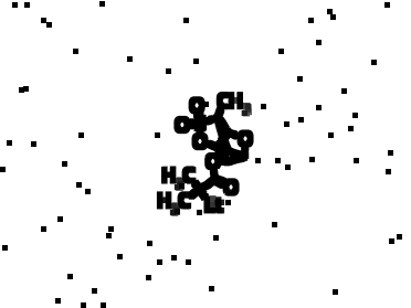 CCC(C)(C)C(=O)OC1C2CC3OS(=O)(=O)C1(C)C3O2